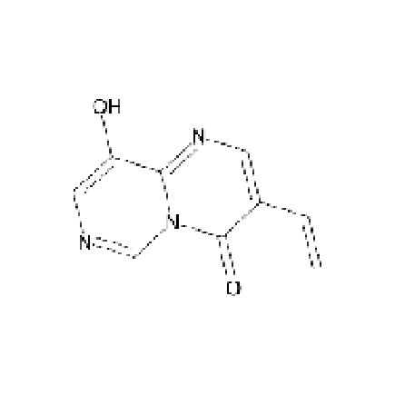 C=Cc1cnc2c(O)cncn2c1=O